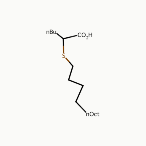 CCCCCCCCCCCCSC(CCCC)C(=O)O